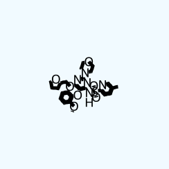 COc1ccccc1Oc1c(NS(=O)(=O)c2ccc(C)cn2)nc(N2CCOCC2)nc1OCC1CCCO1